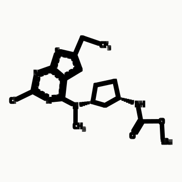 CN(c1nc(Cl)nc2sc(CC(F)(F)F)cc12)[C@@H]1CC[C@H](NC(=O)OC(C)(C)C)C1